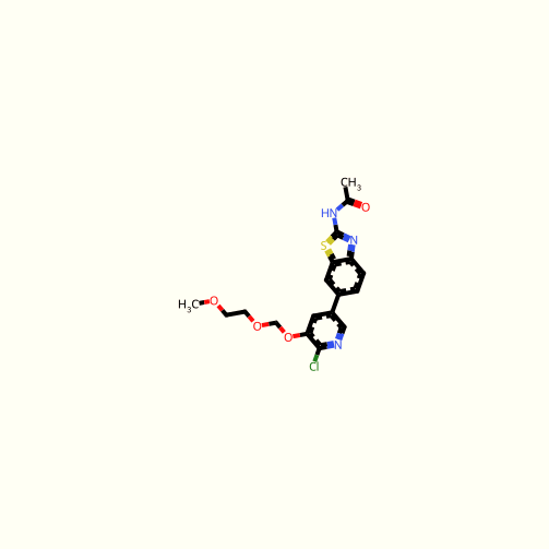 COCCOCOc1cc(-c2ccc3nc(NC(C)=O)sc3c2)cnc1Cl